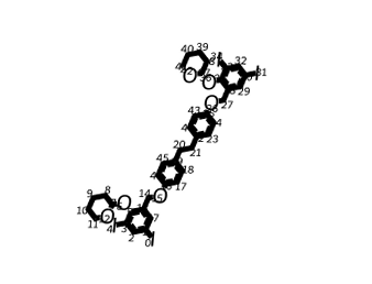 Ic1cc(I)c(OC2CCCCO2)c(COc2ccc(CCc3ccc(OCc4cc(I)cc(I)c4OC4CCCCO4)cc3)cc2)c1